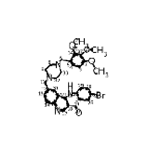 COc1ccc(CN2CCN(Cc3ccc4ncc([C]=O)c(Nc5ccc(Br)cc5)c4c3)CC2)c(OC)c1OC